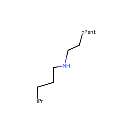 CCCCCCCNCCCC(C)C